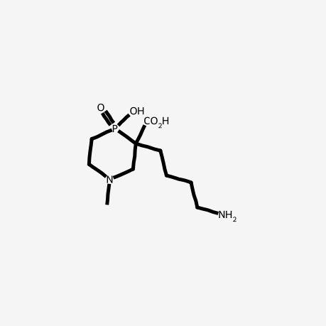 CN1CCP(=O)(O)C(CCCCN)(C(=O)O)C1